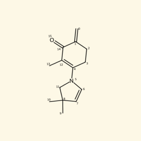 C=C1CCC(N2C=CC(C)(C)C2)=C(C)C1=O